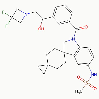 CS(=O)(=O)Nc1ccc2c(c1)C1(CCC3(CC3)CC1)CN2C(=O)c1cccc(C(O)CN2CC(F)(F)C2)c1